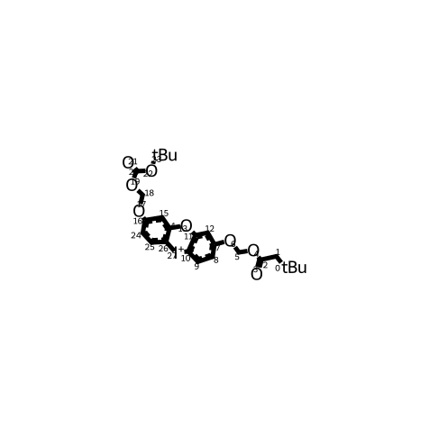 CC(C)(C)CC(=O)OCOc1ccc2c(c1)Oc1cc(OCOC(=O)OC(C)(C)C)ccc1[I+]2